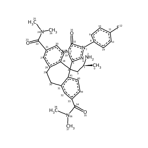 C[C@H](N)CC1(c2nn(-c3ccc(F)cc3)c(=O)[nH]2)c2ccc(C(=O)N(C)C)cc2CCc2cc(C(=O)N(C)C)ccc21